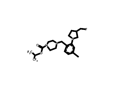 Cc1ccc(CN2CCN(C(=O)OC(C(F)(F)F)C(F)(F)F)CC2)c(N2CCC(CF)C2)c1